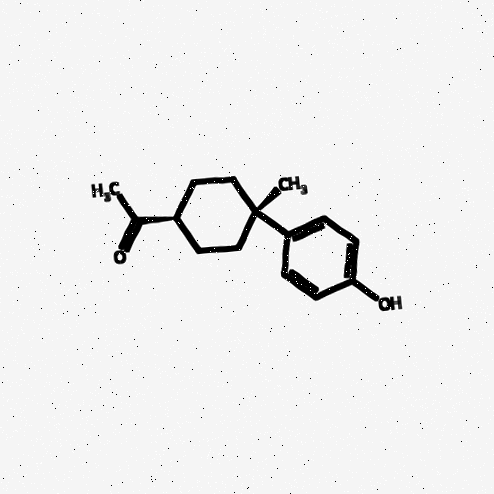 CC(=O)[C@H]1CC[C@](C)(c2ccc(O)cc2)CC1